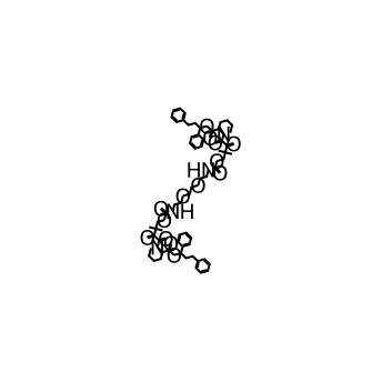 CC(C)(COC(=O)NCCOCCOCCNC(=O)OCC(C)(C)C(=O)C(=O)N1CCCCC1C(=O)OC(CCc1ccccc1)c1ccccc1)C(=O)C(=O)N1CCCCC1C(=O)OC(CCc1ccccc1)c1ccccc1